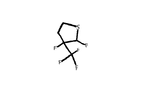 FC1SCCC1(F)C(F)(F)F